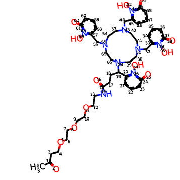 CC(=O)CCOCCOCCOCCNC(=O)CCC(c1cccc(=O)n1O)N1CCN(Cc2cccc(=O)n2O)CCN(Cc2cccc(=O)n2O)CCN(Cc2cccc(=O)n2O)CC1